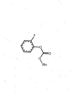 CC(C)(C)OC(=O)Oc1ccc[c]c1F